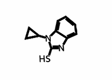 Sc1nc2ccccc2n1C1CC1